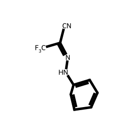 N#CC(=NNc1ccccc1)C(F)(F)F